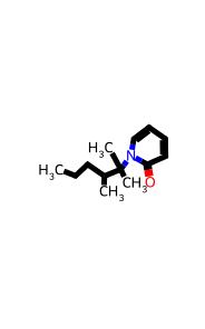 CCCC(C)C(C)(C)n1ccccc1=O